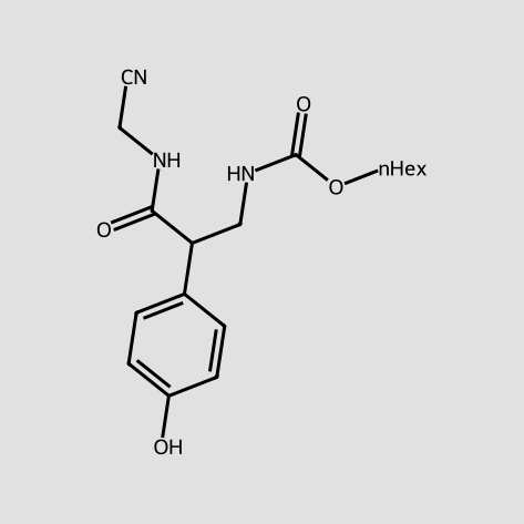 CCCCCCOC(=O)NCC(C(=O)NCC#N)c1ccc(O)cc1